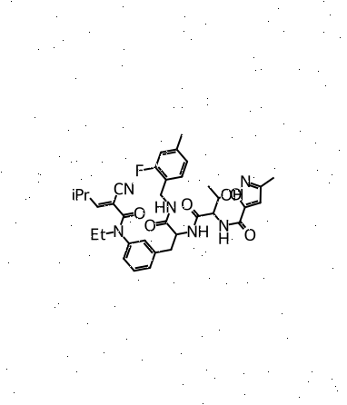 CCN(C(=O)C(C#N)=CC(C)C)c1cccc(CC(NC(=O)C(NC(=O)c2cc(C)no2)C(C)O)C(=O)NCc2ccc(C)cc2F)c1